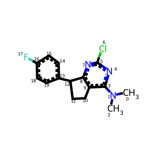 CN(C)c1nc(Cl)nc2c1CCC2c1ccc(F)cc1